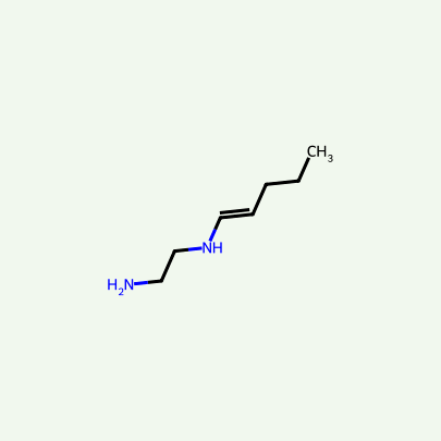 CCC/C=C/NCCN